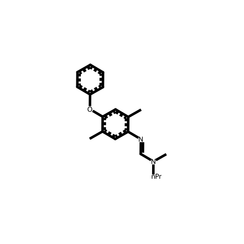 CCCN(C)C=Nc1cc(C)c(Oc2ccccc2)cc1C